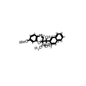 COc1ccc2c(c1)OC(N(C)C)(C(C)(C)c1ccc3ccccc3c1)C=N2